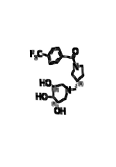 O=C(c1ccc(C(F)(F)F)cc1)N1CC[C@H](CN2C[C@@H](O)C(O)[C@@H](O)C2)C1